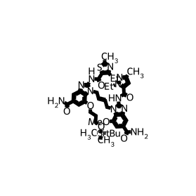 CCc1nc(C)sc1C(=O)Nc1nc2cc(C(N)=O)cc(OCCCO[Si](C)(C)C(C)(C)C)c2n1CC=CCn1c(NC(=O)c2cc(C)nn2CC)nc2cc(C(N)=O)cc(OC)c21